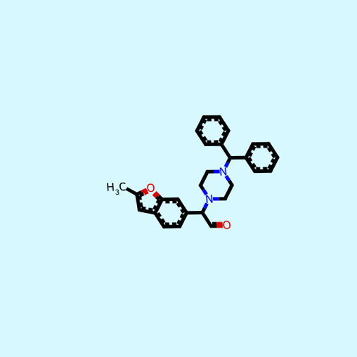 Cc1cc2ccc(C(C=O)N3CCN(C(c4ccccc4)c4ccccc4)CC3)cc2o1